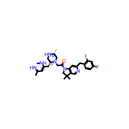 CN/C(=C\C(C)=N)C[C@H]1CN[C@H](C)CN1CC(=O)N1CC(C)(C)c2cnc(Cc3ccc(F)cc3F)cc21